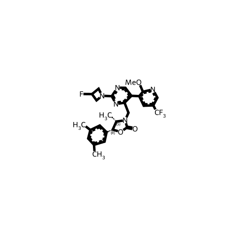 COc1ncc(C(F)(F)F)cc1-c1cnc(N2CC(F)C2)nc1CN1C(=O)O[C@H](c2cc(C)cc(C)c2)[C@@H]1C